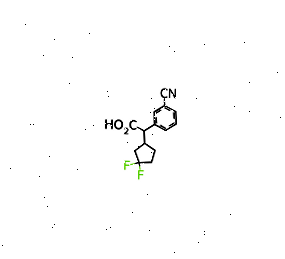 N#Cc1cccc(C(C(=O)O)C2CCC(F)(F)C2)c1